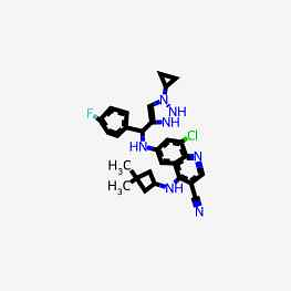 CC1(C)CC(Nc2c(C#N)cnc3c(Cl)cc(NC(C4=CN(C5CC5)NN4)c4ccc(F)cc4)cc23)C1